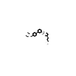 O=C(C=Cc1ccn(S(=O)(=O)c2cccc(-c3ccc(CN4CCOCC4)cc3)c2)c1)NO